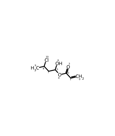 C=CC(=O)OC(O)CC(C)Cl